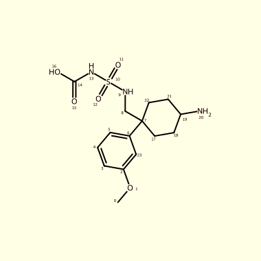 COc1cccc(C2(CNS(=O)(=O)NC(=O)O)CCC(N)CC2)c1